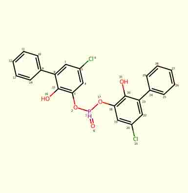 O=[PH](Oc1cc(Cl)cc(-c2ccccc2)c1O)Oc1cc(Cl)cc(-c2ccccc2)c1O